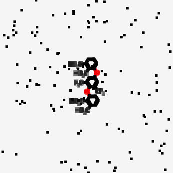 O=C(O)c1cccc(Oc2cc(C(F)(F)F)c(Oc3cccc(C(=O)O)c3C(=O)O)c(C(F)(F)F)c2)c1C(=O)O